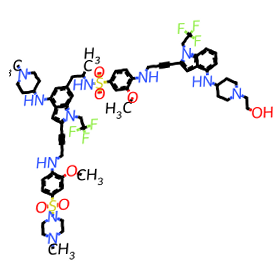 COc1cc(S(=O)(=O)NC(C)Cc2cc(NC3CCN(C)CC3)c3cc(C#CCNc4ccc(S(=O)(=O)N5CCN(C)CC5)cc4OC)n(CC(F)(F)F)c3c2)ccc1NCC#Cc1cc2c(NC3CCN(CCO)CC3)cccc2n1CC(F)(F)F